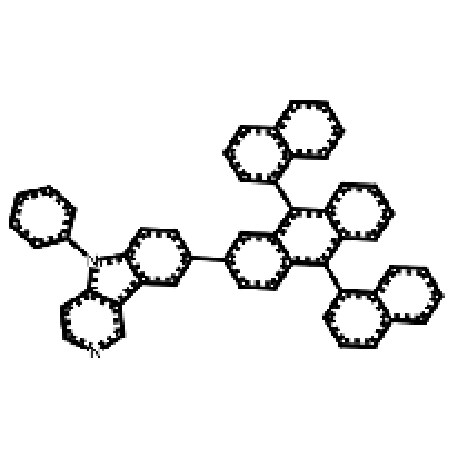 c1ccc(-n2c3ccncc3c3cc(-c4ccc5c(-c6cccc7ccccc67)c6ccccc6c(-c6cccc7ccccc67)c5c4)ccc32)cc1